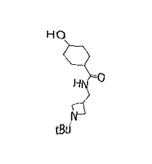 CC(C)(C)N1CC(CNC(=O)C2CCC(O)CC2)C1